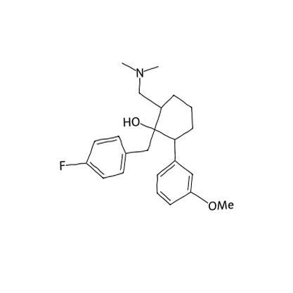 COc1cccc(C2CCCC(CN(C)C)C2(O)Cc2ccc(F)cc2)c1